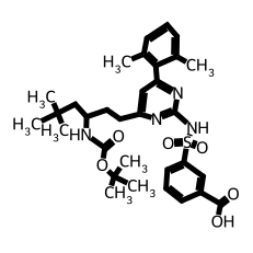 Cc1cccc(C)c1-c1cc(CCC(CC(C)(C)C)NC(=O)OC(C)(C)C)nc(NS(=O)(=O)c2cccc(C(=O)O)c2)n1